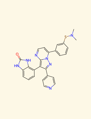 CN(C)Sc1cccc(-c2ccnc3c(-c4cccc5[nH]c(=O)[nH]c45)c(-c4ccncc4)nn23)c1